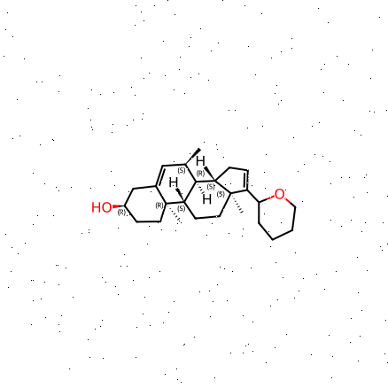 C[C@@H]1C=C2C[C@H](O)CC[C@]2(C)[C@H]2CC[C@]3(C)C(C4CCCCO4)=CC[C@H]3[C@H]12